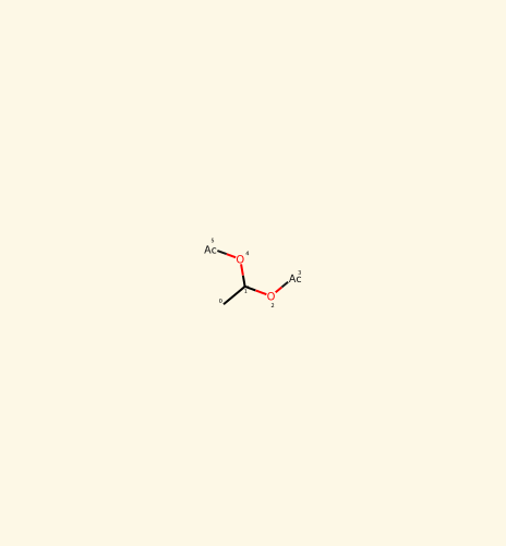 C[C](OC(C)=O)OC(C)=O